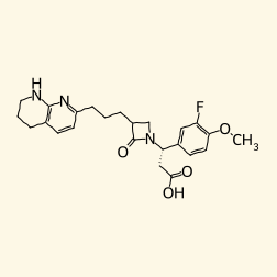 COc1ccc([C@H](CC(=O)O)N2CC(CCCc3ccc4c(n3)NCCC4)C2=O)cc1F